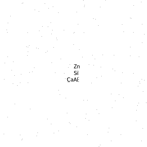 [Al].[Ca].[Si].[Zn]